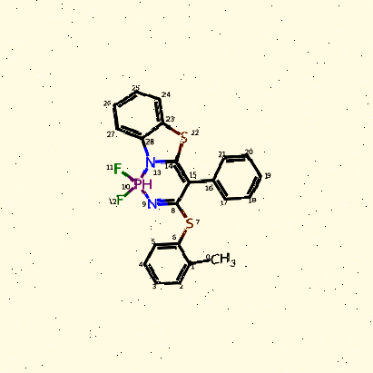 Cc1ccccc1SC1=N[PH](F)(F)N2C(=C1c1ccccc1)Sc1ccccc12